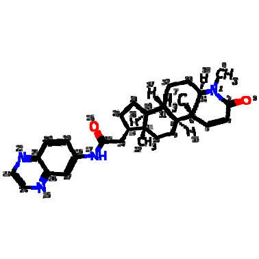 CN1C(=O)C=C[C@]2(C)[C@H]3CC[C@]4(C)[C@@H](CC(=O)Nc5ccc6nccnc6c5)CC[C@H]4[C@@H]3CC[C@@H]12